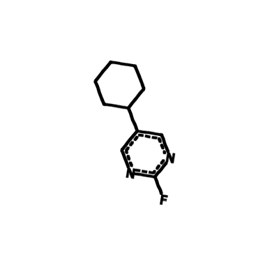 Fc1ncc(C2CCCCC2)cn1